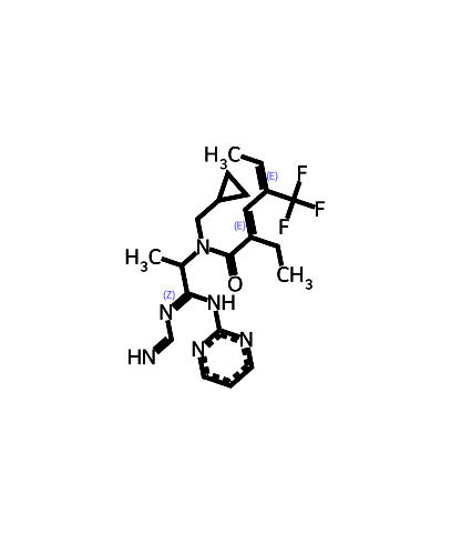 C/C=C(\C=C(/CC)C(=O)N(CC1CC1)C(C)/C(=N/C=N)Nc1ncccn1)C(F)(F)F